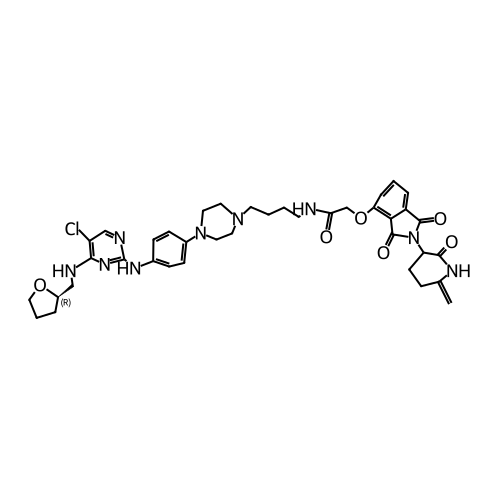 C=C1CCC(N2C(=O)c3cccc(OCC(=O)NCCCCN4CCN(c5ccc(Nc6ncc(Cl)c(NC[C@H]7CCCO7)n6)cc5)CC4)c3C2=O)C(=O)N1